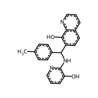 Cc1ccc(C(Nc2ncccc2O)c2ccc3cccnc3c2O)cc1